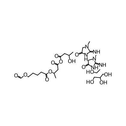 CC(O)CC(=O)OC(=O)CC(C)OC(=O)CCCCOC=O.CCO.CN1CC(=O)NC1=N.CN1CC(=O)NC1=N.OCC(O)CO